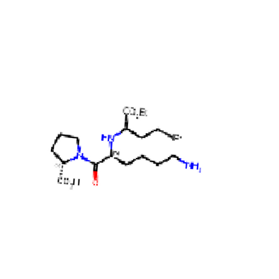 CCOC(=O)C(CCC(C)C)N[C@@H](CCCCN)C(=O)N1CCC[C@H]1C(=O)O